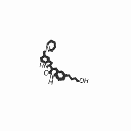 O=c1[nH]c2ccc(CCCCO)cc2cc1-c1cc2cc(CN3CCCCC3)ccc2[nH]1